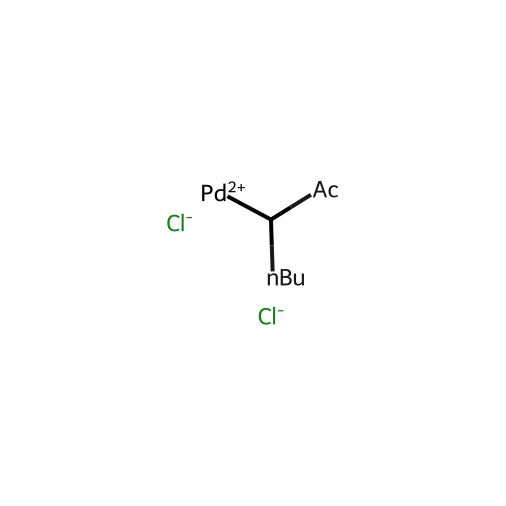 CCCC[CH]([Pd+2])C(C)=O.[Cl-].[Cl-]